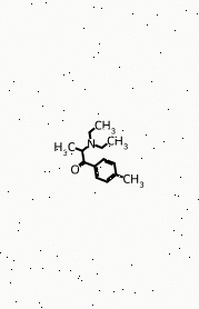 CCN(CC)C(C)C(=O)c1ccc(C)cc1